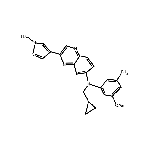 Bc1cc(OC)cc(N(CC2CC2)c2ccc3ncc(-c4cnn(C)c4)nc3c2)c1